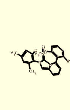 Cc1cc(C)c(-n2cc3cccc(-c4c(C(C)C)cccc4C(C)C)n3[c]2=[Rh-2][Cl])c(C)c1